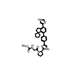 COC(=O)NCC(=O)N1CCCC1c1nc(-c2ccc(-c3ccc(-c4c[nH]cn4)c4c3C3(CCCC3)CC4)cc2)c[nH]1